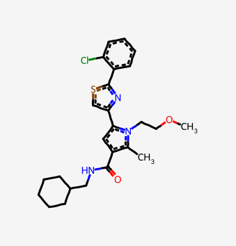 COCCn1c(-c2csc(-c3ccccc3Cl)n2)cc(C(=O)NCC2CCCCC2)c1C